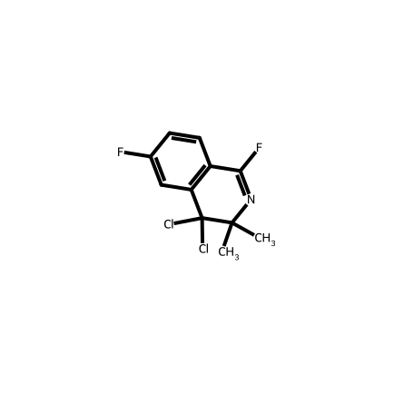 CC1(C)N=C(F)c2ccc(F)cc2C1(Cl)Cl